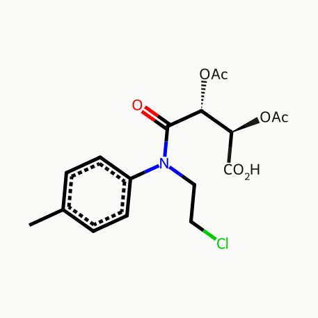 CC(=O)O[C@@H](C(=O)O)[C@@H](OC(C)=O)C(=O)N(CCCl)c1ccc(C)cc1